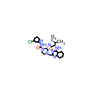 CC(C)[C@H](Nc1nc(CN2CCN(C(=O)Nc3cccc(Cl)c3)CC2)nc2ccccc12)C(N)=O